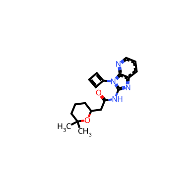 CC1(C)CCCC(CC(=O)Nc2nc3cccnc3n2C2=CC=C2)O1